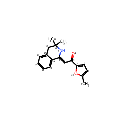 Cc1ccc(C(=O)/C=C2\NC(C)(C)Cc3ccccc32)o1